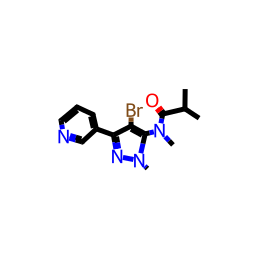 CC(C)C(=O)N(C)c1c(Br)c(-c2cccnc2)nn1C